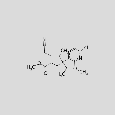 CCC(CC)(CC(CCC#N)C(=O)OC)c1ccc(Cl)nc1OC